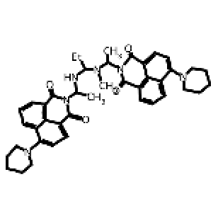 CCC(NC(C)N1C(=O)c2cccc3c(N4CCCCC4)ccc(c23)C1=O)N(C)C(C)N1C(=O)c2cccc3c(N4CCCCC4)ccc(c23)C1=O